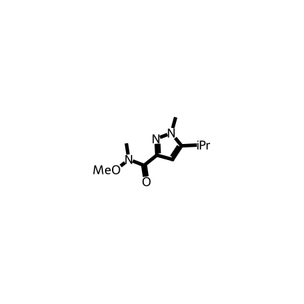 CON(C)C(=O)c1cc(C(C)C)n(C)n1